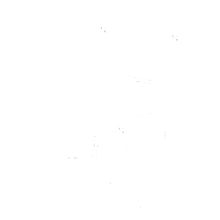 N#Cc1cc(F)c(-n2c3c(c4ccccc42)CCC=C3)cc1C#N